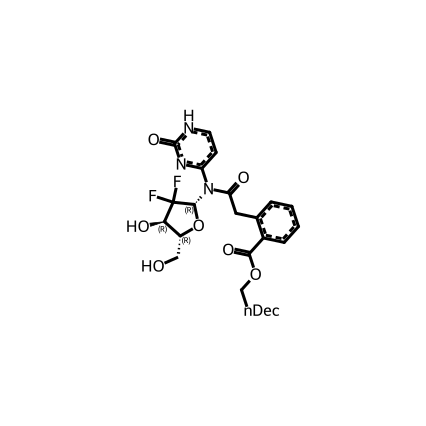 CCCCCCCCCCCOC(=O)c1ccccc1CC(=O)N(c1cc[nH]c(=O)n1)[C@@H]1O[C@H](CO)[C@@H](O)C1(F)F